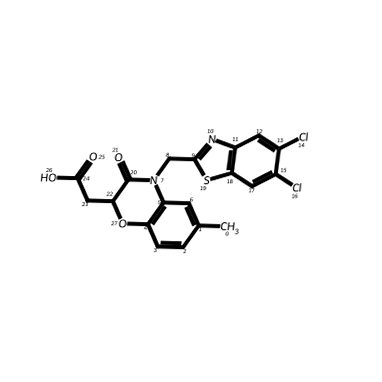 Cc1ccc2c(c1)N(Cc1nc3cc(Cl)c(Cl)cc3s1)C(=O)C(CC(=O)O)O2